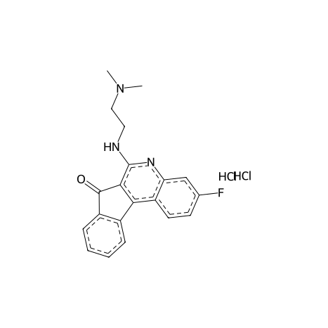 CN(C)CCNc1nc2cc(F)ccc2c2c1C(=O)c1ccccc1-2.Cl.Cl